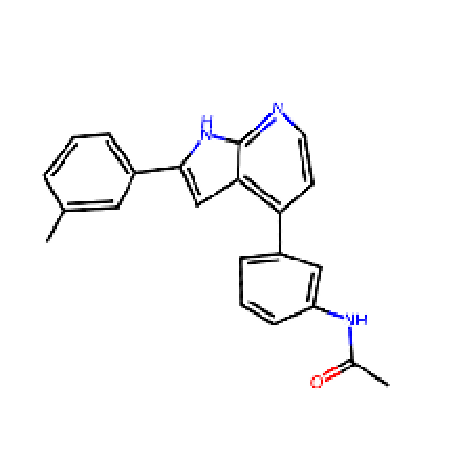 CC(=O)Nc1cccc(-c2ccnc3[nH]c(-c4cccc(C)c4)cc23)c1